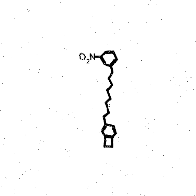 O=[N+]([O-])c1cccc(CCCCCCCCc2ccc3c(c2)CC3)c1